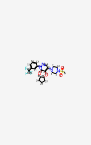 CS(=O)(=O)N1CCN(c2cnn(-c3cccc(C(F)(F)F)c3)c(=O)c2OC2CCCC2)CC1